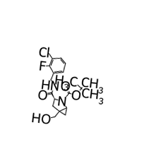 CC(C)(C)OC(=O)N1C2CC2(CO)C[C@H]1C(=O)NCc1cccc(Cl)c1F